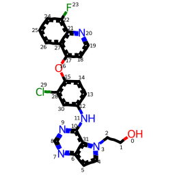 OCCn1ccc2ncnc(Nc3ccc(Oc4ccnc5c(F)cccc45)c(Cl)c3)c21